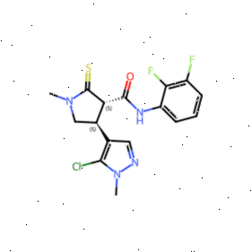 CN1C[C@H](c2cnn(C)c2Cl)[C@@H](C(=O)Nc2cccc(F)c2F)C1=S